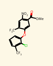 COC(=O)c1cc(Oc2cccc(C(F)(F)F)c2Cl)c(C(F)(F)F)cc1[N+](=O)[O-]